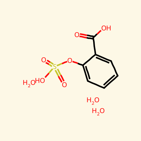 O.O.O.O=C(O)c1ccccc1OS(=O)(=O)O